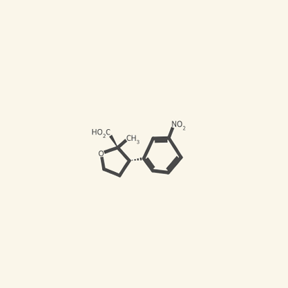 C[C@@]1(C(=O)O)OCC[C@H]1c1cccc([N+](=O)[O-])c1